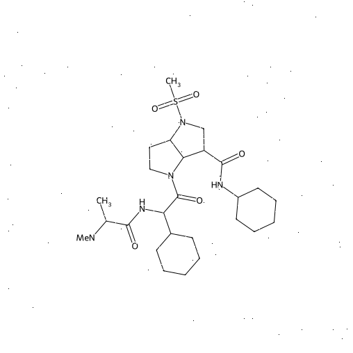 CNC(C)C(=O)NC(C(=O)N1CCC2C1C(C(=O)NC1CCCCC1)CN2S(C)(=O)=O)C1CCCCC1